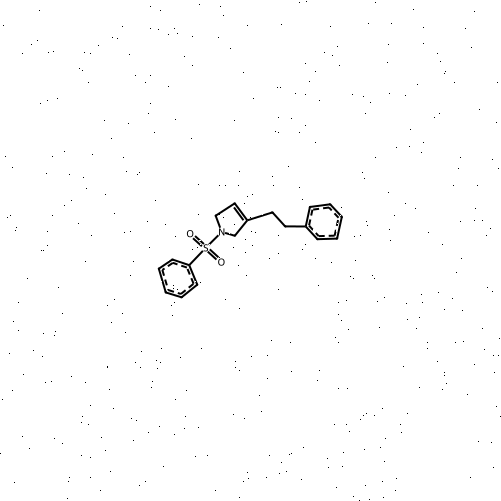 O=S(=O)(c1ccccc1)N1CC=C(CCc2ccccc2)C1